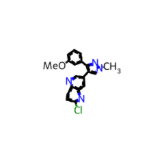 COc1cccc(-c2nn(C)cc2-c2cnc3ccc(Cl)nc3c2)c1